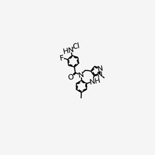 Cc1ccc2c(c1)Nc1c(cnn1C)CN2C(=O)c1ccc(NCl)c(F)c1